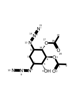 CC(=O)O[C@H]1[C@H](O)C(N=[N+]=[N-])CC(N=[N+]=[N-])[C@@H]1OC(C)=O